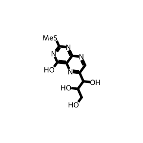 CSc1nc(O)c2nc(C(O)C(O)CO)cnc2n1